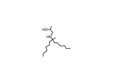 CCCCCCC(C)(CCCCCC)NCC(C)O